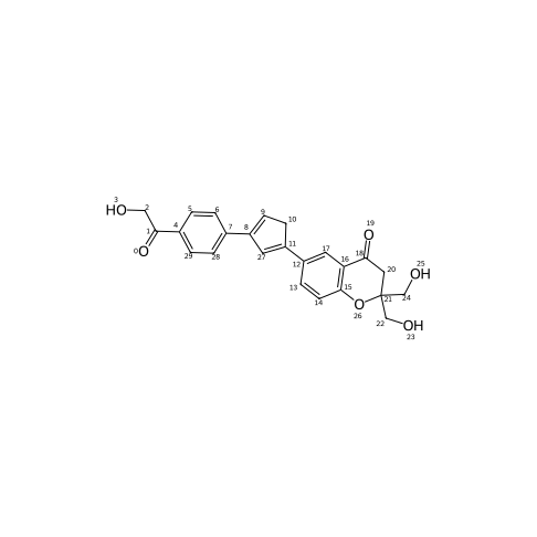 O=C(CO)c1ccc(C2=CCC(c3ccc4c(c3)C(=O)CC(CO)(CO)O4)=C2)cc1